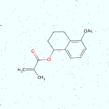 C=C(C)C(=O)OC1CCCc2c(OC(C)=O)cccc21